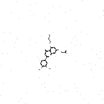 CCCCOc1cc(OCC(=O)O)cc2oc(-c3ccc(OC)c(OC)c3)cc(=O)c12